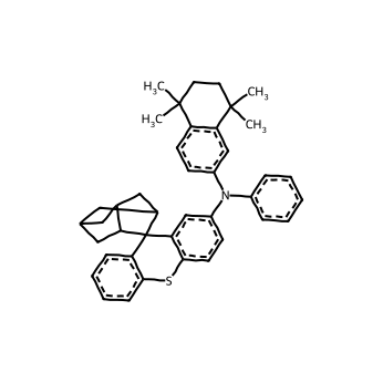 CC1(C)CCC(C)(C)c2cc(N(c3ccccc3)c3ccc4c(c3)C3(c5ccccc5S4)C4CC5CC(C4)C3C5)ccc21